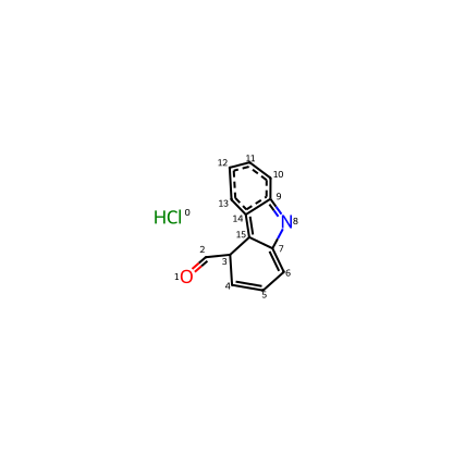 Cl.O=CC1C=CC=C2N=c3ccccc3=C21